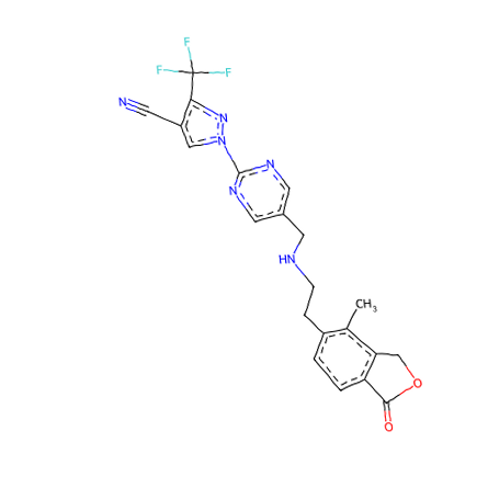 Cc1c(CCNCc2cnc(-n3cc(C#N)c(C(F)(F)F)n3)nc2)ccc2c1COC2=O